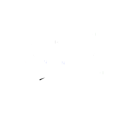 C[C@@H]1C(=O)N(c2cc(Cl)cc(Cl)c2)[C@@H](C(C)(C)C)N1C(=O)C(F)(F)F